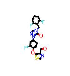 O=Cc1ncsc1Oc1ccc(-n2ncn(Cc3c(F)cccc3F)c2=O)cc1F